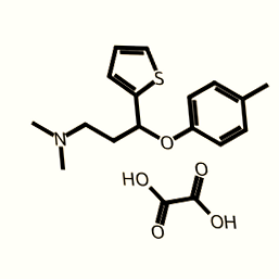 Cc1ccc(OC(CCN(C)C)c2cccs2)cc1.O=C(O)C(=O)O